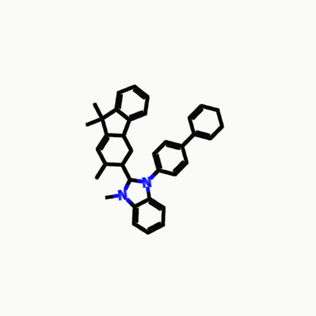 CC1C=C2C(CC1C1N(C)c3ccccc3N1c1ccc(C3=CCCC=C3)cc1)c1ccccc1C2(C)C